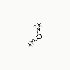 CC(C)(C)[S@+]([O-])/N=C/c1cccc(CO[Si](C)(C)C(C)(C)C)c1